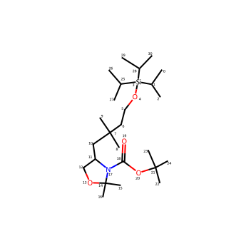 CC(C)[Si](OCCC(C)(C)CC1COC(C)(C)N1C(=O)OC(C)(C)C)(C(C)C)C(C)C